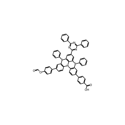 O=COc1ccc(-c2ccc3c(c2)B(c2ccccc2)c2cc(-c4nc(-c5ccccc5)nc(-c5ccccc5)n4)cc4c2N3c2ccc(-c3ccc(C(=O)O)cc3)cc2B4c2ccccc2)cc1